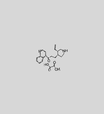 C=C[C@H]1CNCC[C@H]1CCC(=O)c1ccnc2ccccc12.O=C(O)C(=O)O